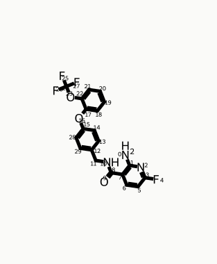 Nc1nc(F)ccc1C(=O)NCc1ccc(Oc2ccccc2OC(F)(F)F)cc1